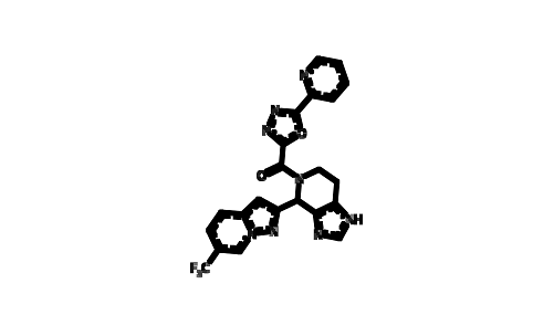 O=C(c1nnc(-c2ccccn2)o1)N1CCc2[nH]cnc2C1c1cc2ccc(C(F)(F)F)cn2n1